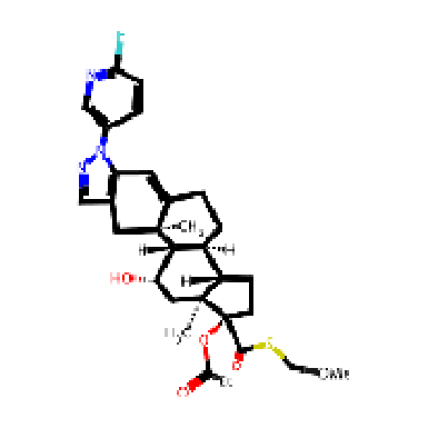 CCC(=O)O[C@]1(C(=O)SCOC)CC[C@H]2[C@@H]3CCC4=Cc5c(cnn5-c5ccc(F)nc5)C[C@]4(C)[C@H]3[C@@H](O)C[C@@]21C